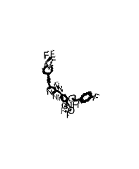 C[C@H](Oc1cc(-c2nn(C)c3c(C#CC4CCN(CC(F)(F)F)CC4)cnc(N)c23)ccc1NS(=O)(=O)C(F)F)c1ccc(F)cc1